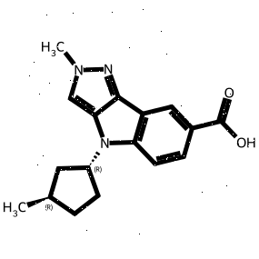 C[C@@H]1CC[C@@H](n2c3ccc(C(=O)O)cc3c3nn(C)cc32)C1